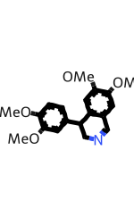 COc1ccc(C2CN=Cc3cc(OC)c(OC)cc32)cc1OC